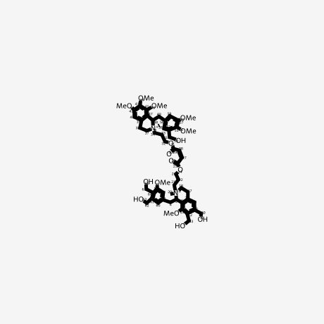 COc1cc(CC2c3c(cc(CO)c(CO)c3OC)CC[N+]2(C)CCCOC(=O)/C=C\C(=O)OCCC[N+]2(C)CCc3cc(OC)c(OC)c(OC)c3C2Cc2cc(CO)c(OC)c(OC)c2)cc(CO)c1CO